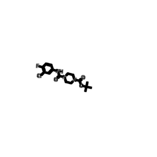 CC(C)(C)OC(=O)N1CCN(C(=O)Nc2ccc(F)c(Cl)c2)CC1